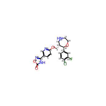 O=c1[nH]c(-c2ccc(OC[C@@H]3CNCCO[C@H]3c3ccc(Cl)c(F)c3)nc2)no1